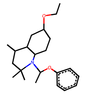 CCOC1CCC2C(C1)C(C)CC(C)(C)N2C(C)Oc1ccccc1